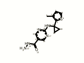 Cc1ccsc1C1(Nc2ncc(C(=O)NN)cn2)CC1